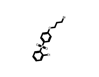 CCc1ccccc1S(=O)(=O)c1ccc(OCCCBr)cc1